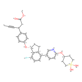 CC#CC(CC(=O)OC)c1ccc(O[C@@H]2CCc3c(-c4ccc(OC5CCS(O)(O)CC5)nc4)ccc(F)c32)cc1